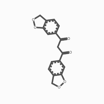 O=C(CC(=O)c1ccc2c(c1)OOC2)c1ccc2c(c1)OOC2